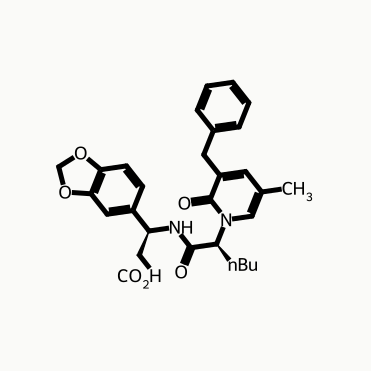 CCCC[C@@H](C(=O)N[C@@H](CC(=O)O)c1ccc2c(c1)OCO2)n1cc(C)cc(Cc2ccccc2)c1=O